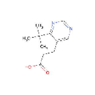 CC(C)(C)c1ncncc1CCC(=O)O